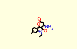 CCn1c(=O)c2c(N)cc(=O)oc2c2ccc(C)cc21